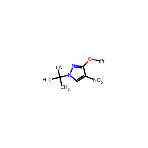 CC(C)Oc1nn(C(C)(C)C#N)cc1[N+](=O)[O-]